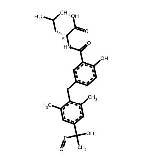 Cc1cc(C(C)(O)P=O)cc(C)c1Cc1ccc(O)c(C(=O)N[C@H](CC(C)C)C(=O)O)c1